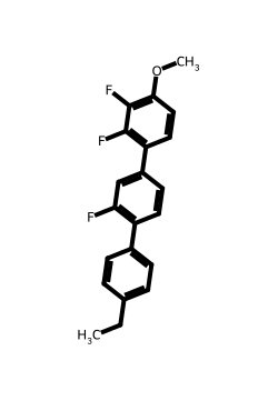 CCc1ccc(-c2ccc(-c3ccc(OC)c(F)c3F)cc2F)cc1